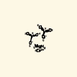 [Ca+2].[MgH2].[O]=[V](=[O])[O-].[O]=[V](=[O])[O-]